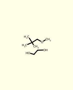 COCC(C)(C)C.OCCO